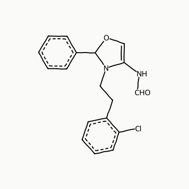 O=CNC1=COC(c2ccccc2)N1CCc1ccccc1Cl